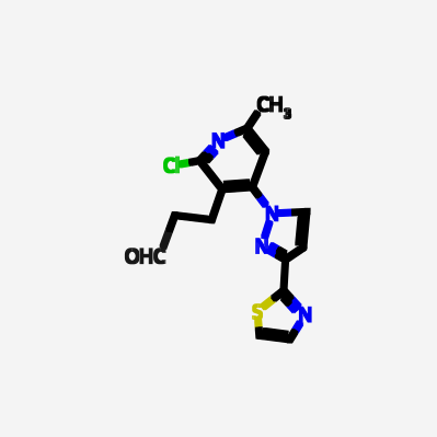 Cc1cc(-n2ccc(-c3nccs3)n2)c(CCC=O)c(Cl)n1